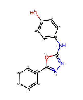 Oc1ccc(Nc2nnc(-c3ccccc3)o2)cc1